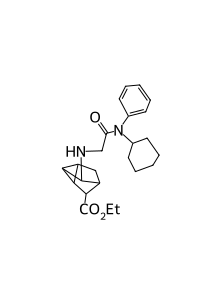 CCOC(=O)C1C2CC3C(C2NCC(=O)N(c2ccccc2)C2CCCCC2)C31